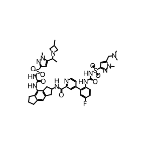 CC1CN(C(C)c2cc(S(=O)(=O)NC(=O)Nc3c4c(cc5c3CC(NC(=O)c3cc(-c6cc(F)ccc6NC(=O)NS(=O)(=O)c6cc(CN(C)C)n(C)n6)ccn3)C5)CCC4)nn2C)C1